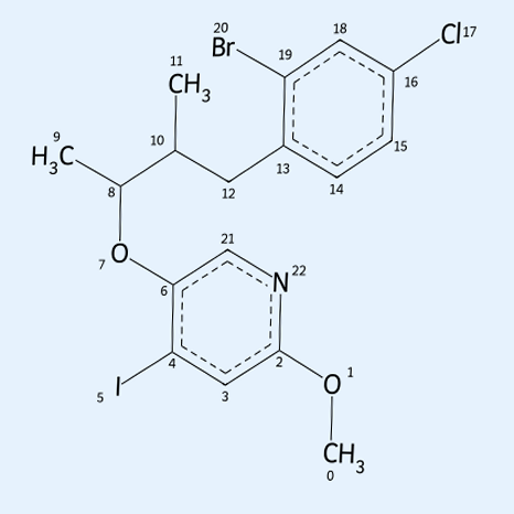 COc1cc(I)c(OC(C)C(C)Cc2ccc(Cl)cc2Br)cn1